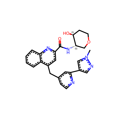 Cn1cc(-c2cc(Cc3cc(C(=O)N[C@H]4COCC[C@@H]4O)nc4ccccc34)ccn2)cn1